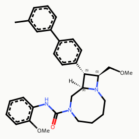 COC[C@@H]1[C@@H](c2ccc(-c3cccc(C)c3)cc2)[C@@H]2CN(C(=O)Nc3ccccc3OC)CCCCN12